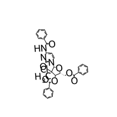 C[C@@]1(Cl)[C@H](OC(=O)c2ccccc2)[C@@H](COC(=O)c2ccccc2)O[C@H]1n1ccc(NC(=O)c2ccccc2)nc1=O